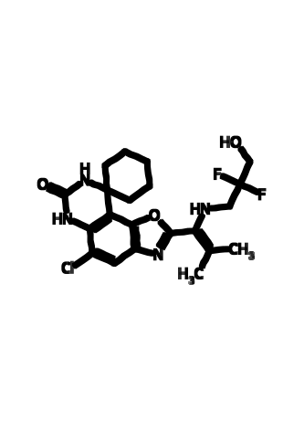 CC(C)=C(NCC(F)(F)CO)c1nc2cc(Cl)c3c(c2o1)C1(CCCCC1)NC(=O)N3